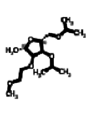 COCCOC1C(OC(C)C)[C@@H](COC(C)C)O[C@H]1C